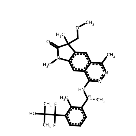 COCC1(C)C(=O)N(C)c2cc3c(N[C@H](C)c4cccc(C(F)(F)C(C)(C)O)c4C)nnc(C)c3cc21